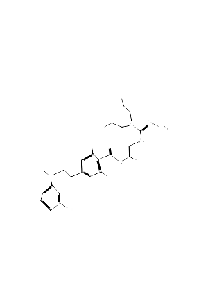 CP(CCc1cc(Cl)c(C(=O)NC(CN/C(=N\C#N)N(CCO)CCO)C(=O)O)c(Cl)c1)c1cccc(O)c1